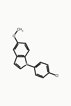 COc1ccc2c(ccn2-c2ccc(Cl)cc2)c1